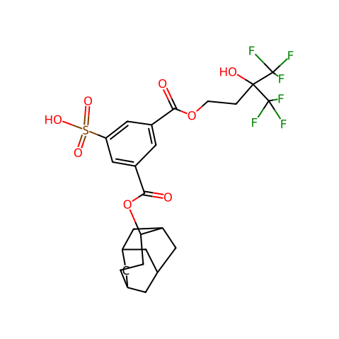 O=C(OCCC(O)(C(F)(F)F)C(F)(F)F)c1cc(C(=O)OC2CCC3CC4CC(C3)CC2C4)cc(S(=O)(=O)O)c1